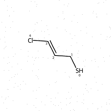 SCC=CCl